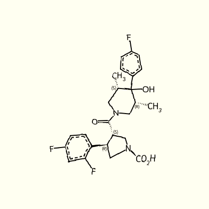 C[C@@H]1CN(C(=O)[C@@H]2CN(C(=O)O)C[C@H]2c2ccc(F)cc2F)C[C@H](C)C1(O)c1ccc(F)cc1